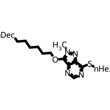 CCCCCCCCCCCCCCCCOc1c2ncnc(SCCCCCC)c2nn1C